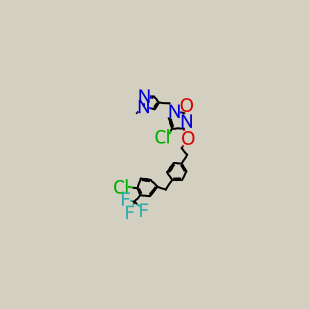 Cn1cc(Cn2cc(Cl)c(OCCc3ccc(Cc4ccc(Cl)c(C(F)(F)F)c4)cc3)nc2=O)cn1